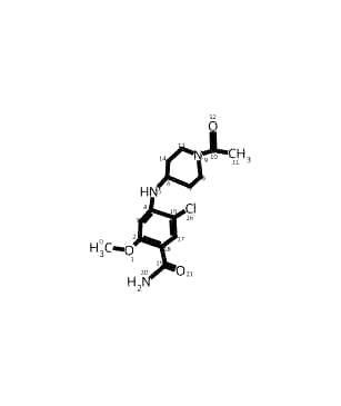 COc1cc(NC2CCN(C(C)=O)CC2)c(Cl)cc1C(N)=O